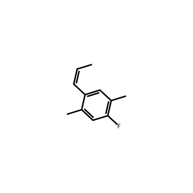 C/C=C\c1cc(C)c(F)cc1C